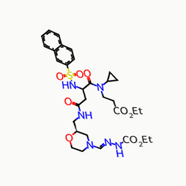 CCOC(=O)CCN(C(=O)C(CC(=O)NC[C@H]1CN(C=NNC(=O)OCC)CCO1)NS(=O)(=O)c1ccc2ccccc2c1)C1CC1